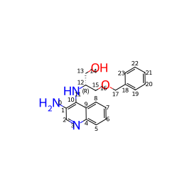 Nc1cnc2ccccc2c1N[C@H](CO)COCc1ccccc1